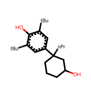 CCCC1(c2cc(C(C)(C)C)c(O)c(C(C)(C)C)c2)CCCC(O)C1